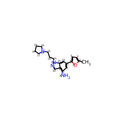 Cc1ccc(-c2cc(N)c3cnn(CCCN4CCCC4)c3c2)o1